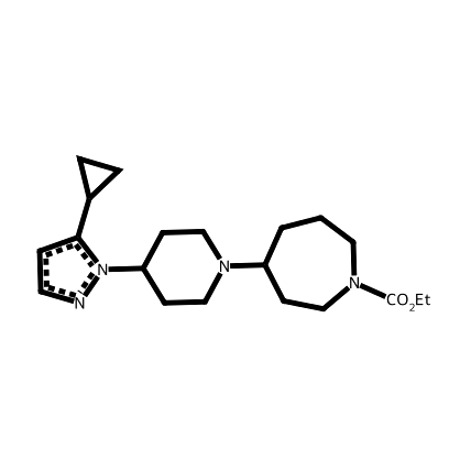 CCOC(=O)N1CCCC(N2CCC(n3nccc3C3CC3)CC2)CC1